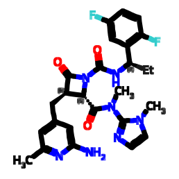 CC[C@@H](NC(=O)N1C(=O)[C@H](Cc2cc(C)nc(N)c2)[C@H]1C(=O)N(C)c1nccn1C)c1cc(F)ccc1F